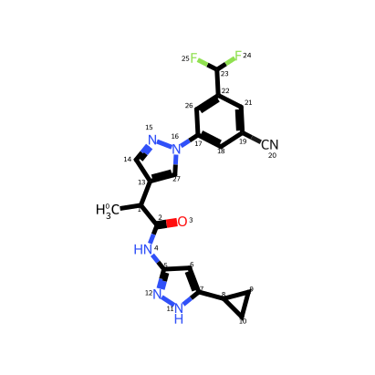 CC(C(=O)Nc1cc(C2CC2)[nH]n1)c1cnn(-c2cc(C#N)cc(C(F)F)c2)c1